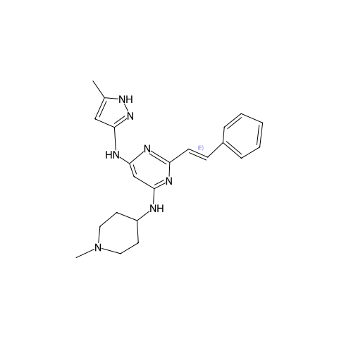 Cc1cc(Nc2cc(NC3CCN(C)CC3)nc(/C=C/c3ccccc3)n2)n[nH]1